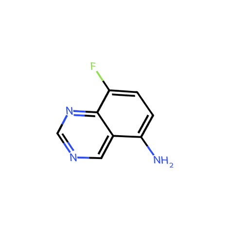 Nc1ccc(F)c2ncncc12